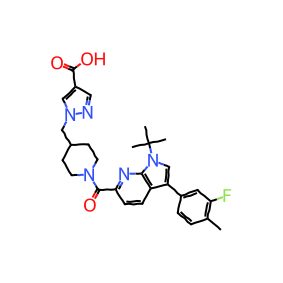 Cc1ccc(-c2cn(C(C)(C)C)c3nc(C(=O)N4CCC(Cn5cc(C(=O)O)cn5)CC4)ccc23)cc1F